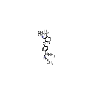 C=C/N=C\N(N)c1ccc(Oc2ncnc(N)c2/C=N/OC)cc1